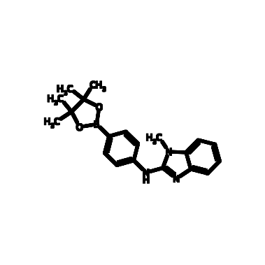 Cn1c(Nc2ccc(B3OC(C)(C)C(C)(C)O3)cc2)nc2ccccc21